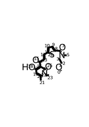 COCCN(C)C(=O)c1ccc(C=CC(=O)c2c(O)cc(C)n(C)c2=O)s1